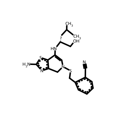 CC(C)C[C@H](CO)NC1=CN(SCc2ccccc2C#N)Cc2nc(N)sc21